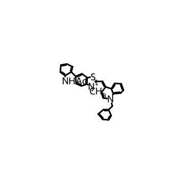 CC(=O)Nc1ccccc1-c1ccc2c(c1)sc(C=C1C=CN(Cc3ccccc3)c3ccccc31)[n+]2C